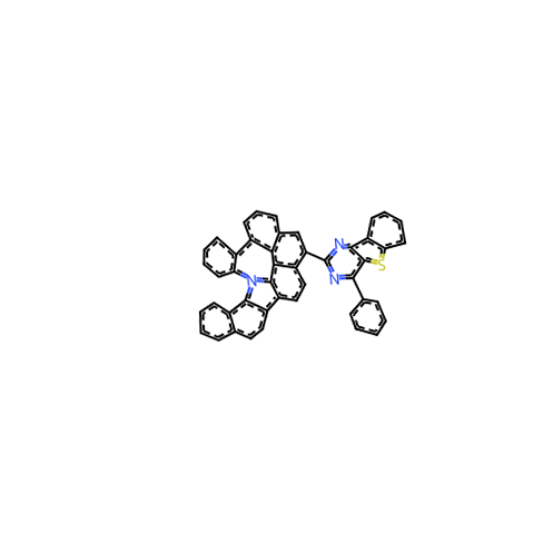 c1ccc(-c2nc(-c3cc4cccc5c6ccccc6n6c7c8ccccc8ccc7c7ccc3c(c45)c76)nc3c2sc2ccccc23)cc1